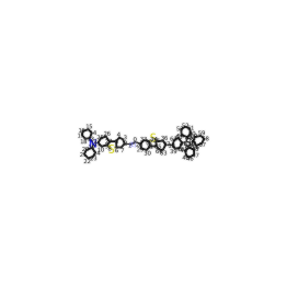 C(=C\c1ccc2c(c1)sc1cc(N(c3ccccc3)c3ccccc3)ccc12)/c1ccc2c(c1)sc1cc(-c3ccc([Si](c4ccccc4)(c4ccccc4)c4ccccc4)cc3)ccc12